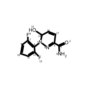 NC(=O)C1=NN(c2c(F)cccc2F)C(O)C=C1